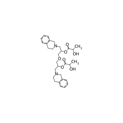 CC(O)C(=O)OC(COCC(CN1CCc2ccccc2C1)OC(=O)C(C)O)CN1CCc2ccccc2C1